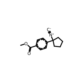 [C-]#[N+]C1(c2ccc(C(=O)OC)cc2)CCCC1